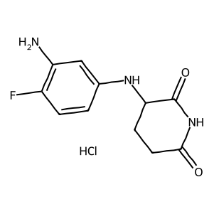 Cl.Nc1cc(NC2CCC(=O)NC2=O)ccc1F